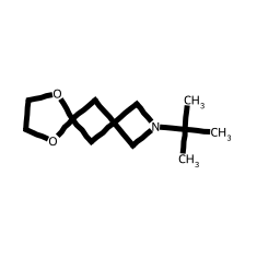 CC(C)(C)N1CC2(C1)CC1(C2)OCCO1